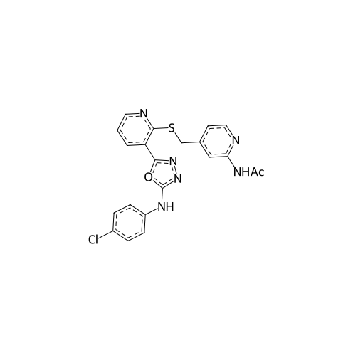 CC(=O)Nc1cc(CSc2ncccc2-c2nnc(Nc3ccc(Cl)cc3)o2)ccn1